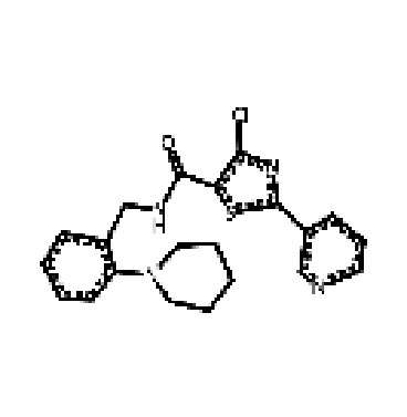 O=C(NCc1ccccc1N1CCCCC1)c1sc(-c2cccnc2)nc1Cl